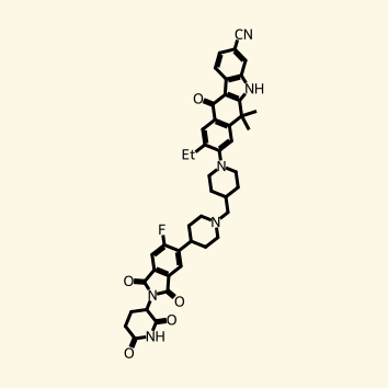 CCc1cc2c(cc1N1CCC(CN3CCC(c4cc5c(cc4F)C(=O)N(C4CCC(=O)NC4=O)C5=O)CC3)CC1)C(C)(C)c1[nH]c3cc(C#N)ccc3c1C2=O